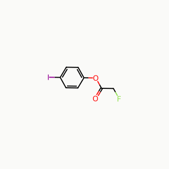 O=C(CF)Oc1ccc(I)cc1